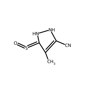 Cc1c(C#N)[nH][nH]c1=S=O